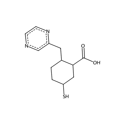 O=C(O)C1CC(S)CCC1Cc1cnccn1